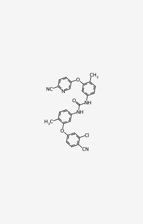 Cc1ccc(NC(=O)Nc2ccc(C)c(Oc3ccc(C#N)c(Cl)c3)c2)cc1Oc1ccc(C#N)nc1